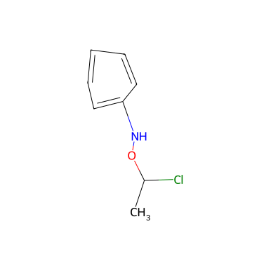 CC(Cl)ONc1ccccc1